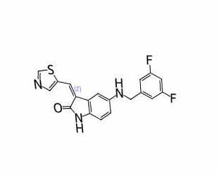 O=C1Nc2ccc(NCc3cc(F)cc(F)c3)cc2/C1=C/c1cncs1